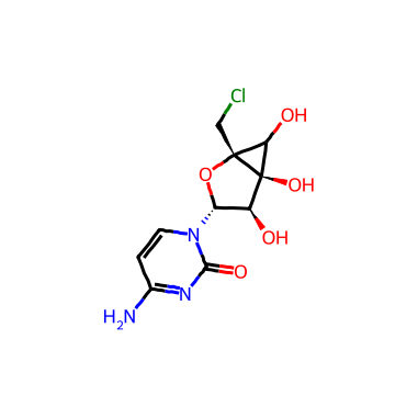 Nc1ccn([C@@H]2O[C@]3(CCl)C(O)[C@]3(O)[C@H]2O)c(=O)n1